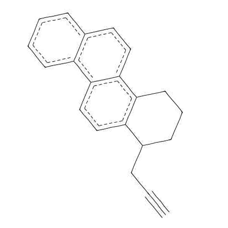 C#CCC1CCCc2c1ccc1c2ccc2ccccc21